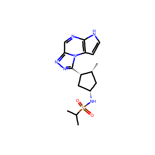 CC(C)S(=O)(=O)N[C@H]1C[C@@H](C)[C@@H](c2nnc3cnc4[nH]ccc4n23)C1